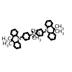 CC1(C)c2ccccc2N(c2ccc([Si](C)(C)c3ccc(N4c5ccccc5C(C)(C)c5ccccc54)cc3)cc2)c2ccccc21